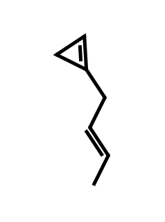 CC=CCC1=CC1